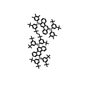 Cc1cc(N(c2cc(C(C)(C)C)cc(C(C)(C)C)c2)c2cc3c4ccccc4c(N(c4cc(C(C)(C)C)cc(C(C)(C)CCC(C)(C)c5cc(N(c6cc(C(C)(C)C)cc(C(C)(C)C)c6)c6cc7c8ccccc8c(N(c8cc(C(C)(C)C)cc(C(C)(C)C)c8)c8cc(C(C)(C)C)cc(C(C)(C)C)c8)cc7c7ccccc67)cc(C(C)(C)C)c5)c4)c4cc(C)c(C)c(C)c4)cc3c3ccccc23)cc(C)c1C